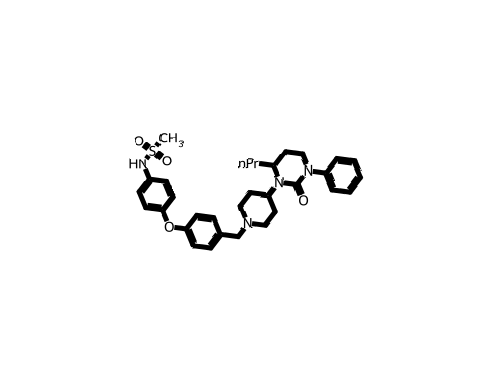 CCCC1CCN(c2ccccc2)C(=O)N1C1CCN(Cc2ccc(Oc3ccc(NS(C)(=O)=O)cc3)cc2)CC1